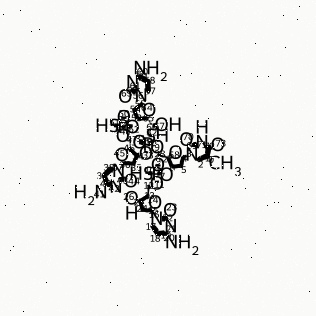 Cc1cn([C@H]2CC(OP(=O)(S)OC[C@H]3O[C@@H](n4ccc(N)nc4=O)CC3O)[C@@H](COP(=O)(S)OC3C[C@H](n4ccc(N)nc4=O)O[C@@H]3COP(=O)(S)OC3C[C@H](n4ccc(N)nc4=O)O[C@@H]3CO)O2)c(=O)[nH]c1=O